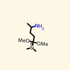 COC(CCC(C)N)(OC)[SiH](C)C